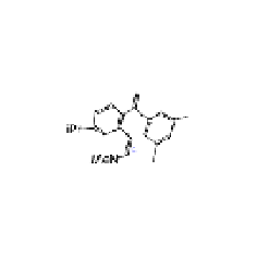 C=C(c1cc(C)cc(C)c1)c1ccc(C(C)C)cc1/C=C\NC